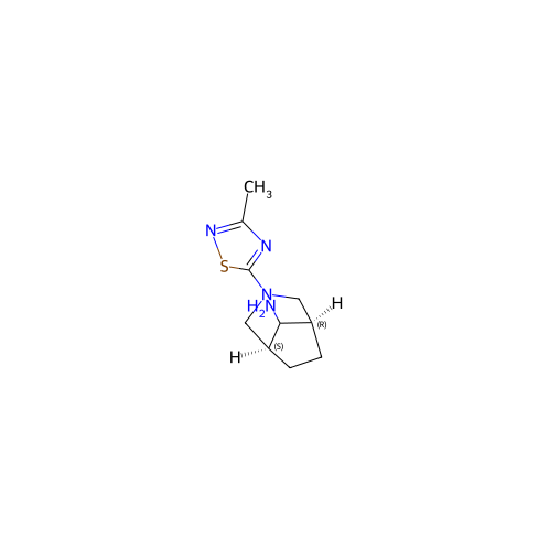 Cc1nsc(N2C[C@H]3CC[C@@H](C2)C3N)n1